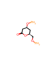 O=C1C[C@@H](OP)C[C@@H](COP)O1